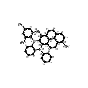 CC(C)c1cc(C(C)C)c(B2c3ccccc3N(c3ccccc3)c3c2c(C(C)C)c2ccc4ccc(C(C)C)c5ccc3c2c45)c(C(C)C)c1